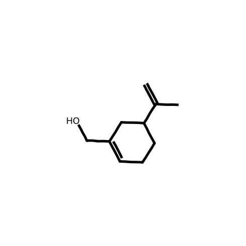 C=C(C)C1CCC=C(CO)C1